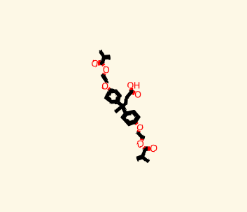 C=C(C)C(=O)OCCOc1ccc(C(C)(CCC(=O)O)c2ccc(OCCOC(=O)C(=C)C)cc2)cc1